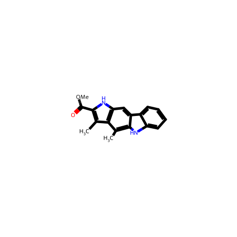 COC(=O)c1[nH]c2cc3c([nH]c4ccccc43)c(C)c2c1C